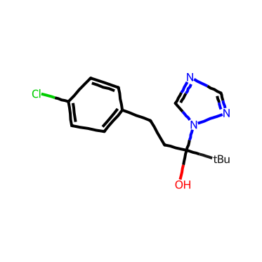 CC(C)(C)C(O)(CCc1ccc(Cl)cc1)n1cncn1